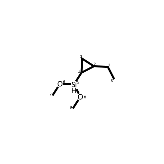 CCC1CC1[SiH](OC)OC